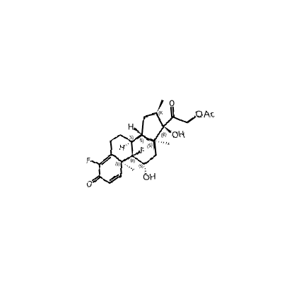 CC(=O)OCC(=O)[C@@]1(O)[C@H](C)C[C@H]2[C@@H]3CCC4=C(F)C(=O)C=C[C@]4(C)[C@@]3(F)[C@@H](O)C[C@@]21C